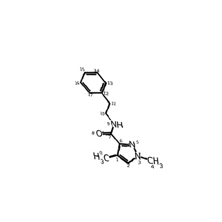 Cc1cn(C)nc1C(=O)NCCc1ccccc1